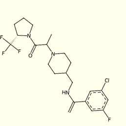 C=C(NCC1CCN(C(C)C(=O)N2CCC[C@H]2C(F)(F)F)CC1)c1cc(F)cc(Cl)c1